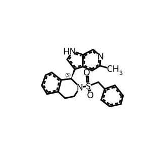 Cc1cc2c([C@@H]3c4ccccc4CCN3S(=O)(=O)Cc3ccccc3)c[nH]c2cn1